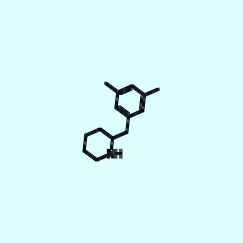 Cc1cc(C)cc(CC2CCCCN2)c1